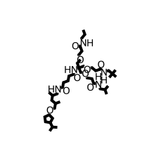 CCCNC(=O)CCOCC(COCCC(=O)NCC(C)C)(COCCC(=O)NCC(C)(C)C)NC(=O)CCCC(=O)NCC(C)CC(C)COC1CCC(C(C)C)C1